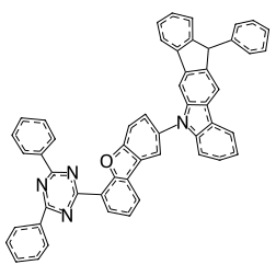 c1ccc(-c2nc(-c3ccccc3)nc(-c3cccc4c3oc3ccc(-n5c6ccccc6c6cc7c(cc65)-c5ccccc5C7c5ccccc5)cc34)n2)cc1